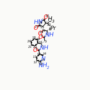 CC(C)[C@H](NC(=O)C[C@H](NC(=O)c1ccc(N)nc1)c1ccccc1)C(=O)[C@@H]1C(=O)NC(=O)[C@H]1C